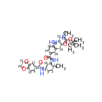 Cc1ccc(NC(=O)c2ccc3c(c2)OCCO3)cc1NC(=O)c1ccc2c(c1)CCC(CN(C)C(=O)OC(C)(C)C)N2